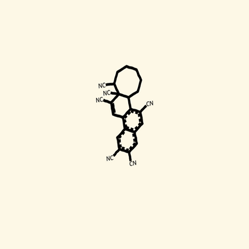 N#CC1=Cc2c(c(C#N)cc3cc(C#N)c(C#N)cc23)C2CCCCCC(C#N)C12C#N